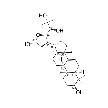 CC(C)(O)[C@@H](O)[C@@H]1O[C@@H](O)C[C@@H]1[C@@H]1CC[C@]2(C)C3=CC[C@H]4C(C)(C)[C@@H](O)CC[C@]4(C)[C@H]3CC[C@@]12C